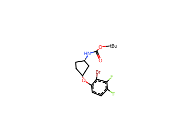 CC(C)(C)OC(=O)N[C@@H]1CC[C@@H](Oc2ccc(F)c(F)c2Br)C1